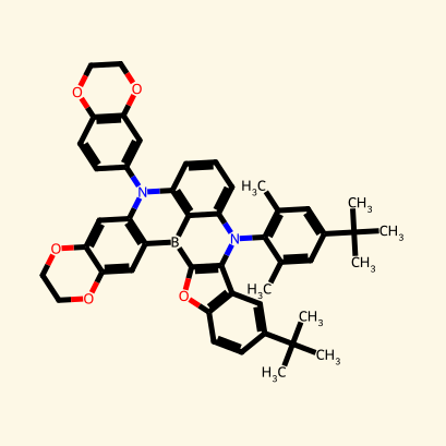 Cc1cc(C(C)(C)C)cc(C)c1N1c2cccc3c2B(c2cc4c(cc2N3c2ccc3c(c2)OCCO3)OCCO4)c2oc3ccc(C(C)(C)C)cc3c21